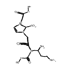 CC(C)(C)OC(=O)N1C=CN(CC(=O)N(C(=O)OC(C)(C)C)C(N)CCN)C1[N+](=O)[O-]